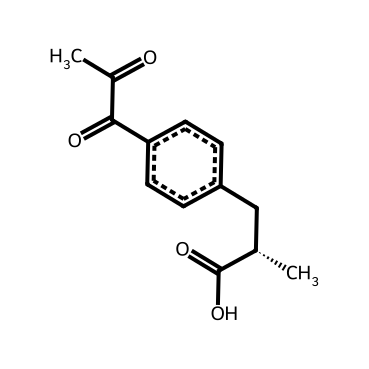 CC(=O)C(=O)c1ccc(C[C@H](C)C(=O)O)cc1